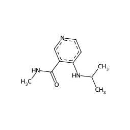 CNC(=O)c1cnccc1NC(C)C